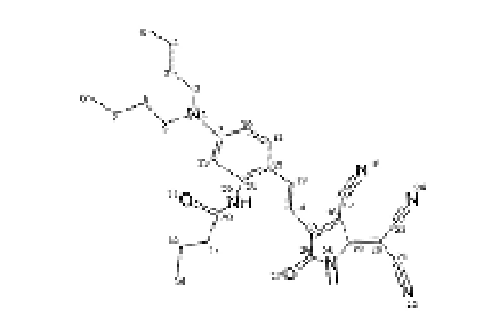 CCCCN(CCCC)c1ccc(/C=C/C2=C(C#N)C(=C(C#N)C#N)NC2=O)c(NC(=O)CCC)c1